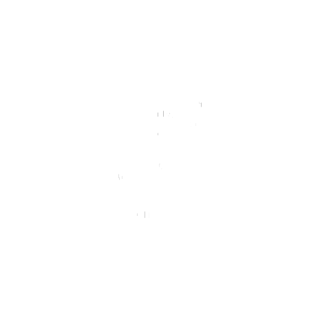 CC(C)OCCOCCO.CCCCOCCO